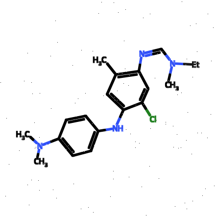 CCN(C)/C=N\c1cc(Cl)c(Nc2ccc(N(C)C)cc2)cc1C